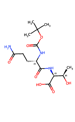 C[C@@H](O)[C@H](NC(=O)[C@H](CCC(N)=O)NC(=O)OC(C)(C)C)C(=O)O